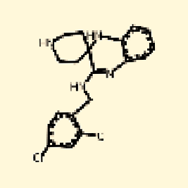 Clc1ccc(CNC2=Nc3ccccc3NC23CCNCC3)c(Cl)c1